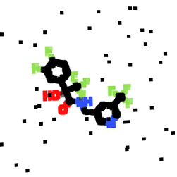 O=C(NCc1cncc(C(F)(F)F)c1)[C@@](O)(c1ccc(F)c(F)c1)C(F)(F)F